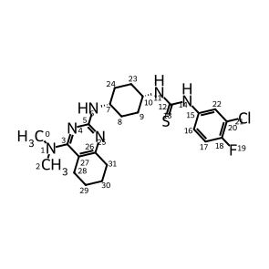 CN(C)c1nc(N[C@H]2CC[C@@H](NC(=S)Nc3ccc(F)c(Cl)c3)CC2)nc2c1CCCC2